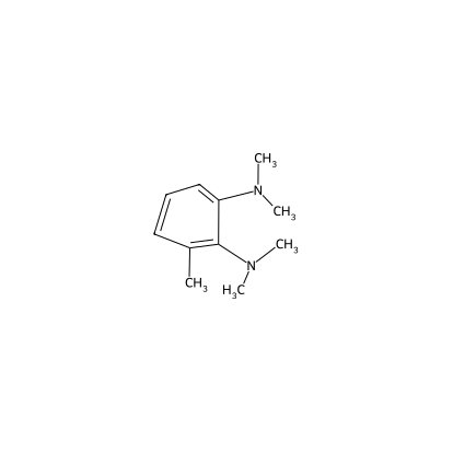 Cc1cccc(N(C)C)c1N(C)C